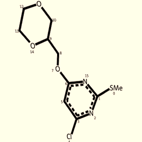 CSc1nc(Cl)cc(OCC2COCCO2)n1